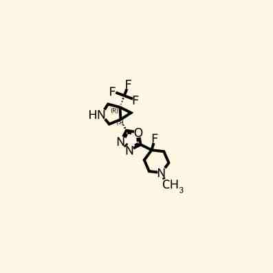 CN1CCC(F)(c2nnc([C@]34CNC[C@@]3(C(F)(F)F)C4)o2)CC1